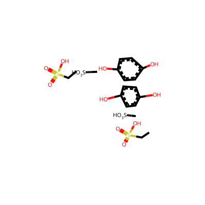 CCS(=O)(=O)O.CCS(=O)(=O)O.CS(=O)(=O)O.CS(=O)(=O)O.Oc1ccc(O)cc1.Oc1ccc(O)cc1